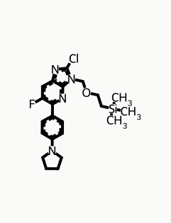 C[Si](C)(C)CCOCn1c(Cl)nc2cc(F)c(-c3ccc(N4CCCC4)cc3)nc21